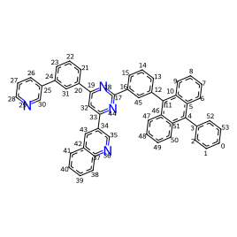 c1ccc(-c2c3ccccc3c(-c3cccc(-c4nc(-c5cccc(-c6cccnc6)c5)cc(-c5cnc6ccccc6c5)n4)c3)c3ccccc23)cc1